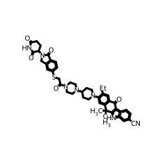 CCc1cc2c(cc1N1CCC(N3CCN(C(=O)CSc4ccc5c(c4)CN(C4CCC(=O)NC4=O)C5=O)CC3)CC1)C(C)(C)c1[nH]c3cc(C#N)ccc3c1C2=O